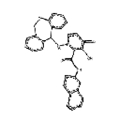 O=C(Nc1ccc2ccccc2c1)c1c(O)c(=O)ccn1NC1c2ccccc2COc2ccccc21